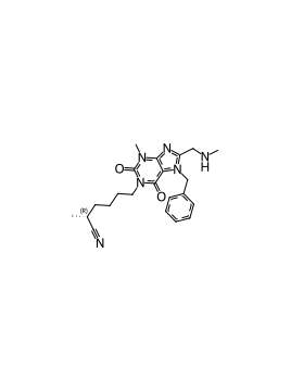 CNCc1nc2c(c(=O)n(CCCC[C@@H](C)C#N)c(=O)n2C)n1Cc1ccccc1